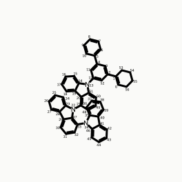 C1=C(c2cc(-c3ccccc3)cc(-n3c4ccccc4c4c(-n5c6ccccc6c6cccc(-n7c8ccccc8c8ccccc87)c65)cccc43)c2)CCCC1